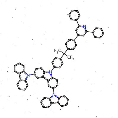 FC(F)(F)C(c1ccc(-c2cc(-c3ccccc3)nc(-c3ccccc3)c2)cc1)(c1ccc(-n2c3ccc(-n4c5ccccc5c5ccccc54)cc3c3cc(-n4c5ccccc5c5ccccc54)ccc32)cc1)C(F)(F)F